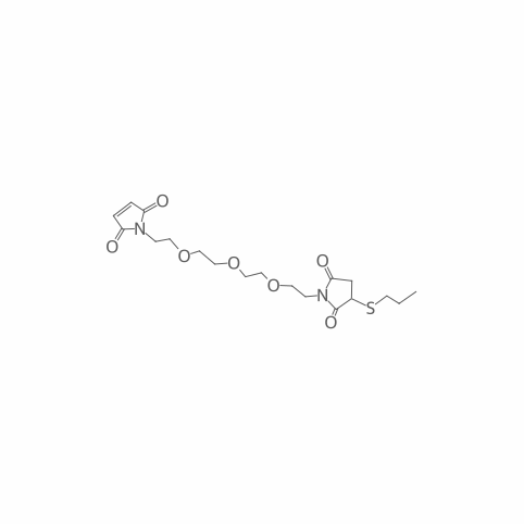 CCCSC1CC(=O)N(CCOCCOCCOCCN2C(=O)C=CC2=O)C1=O